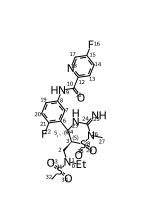 CCN(C[C@H]1[C@@](C)(c2cc(NC(=O)c3ccc(F)cn3)ccc2F)NC(=N)N(C)S1(=O)=O)S(C)(=O)=O